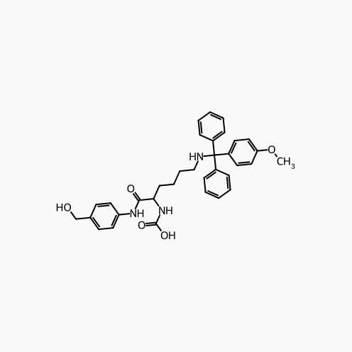 COc1ccc(C(NCCCCC(NC(=O)O)C(=O)Nc2ccc(CO)cc2)(c2ccccc2)c2ccccc2)cc1